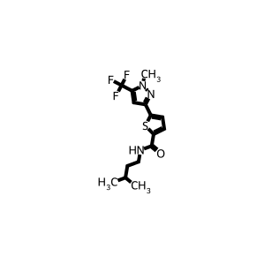 CC(C)CCNC(=O)c1ccc(-c2cc(C(F)(F)F)n(C)n2)s1